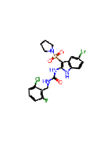 O=C(NCc1c(F)cccc1Cl)Nc1[nH]c2ccc(Br)cc2c1S(=O)(=O)N1CCCC1